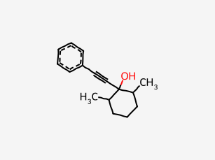 CC1CCCC(C)C1(O)C#Cc1ccccc1